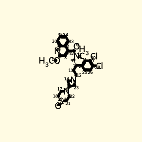 COc1cc(C(=O)N(C)C[C@@H](CCN2CC(N3CC[S+]([O-])CC3)C2)c2ccc(Cl)c(Cl)c2)c2ccccc2n1